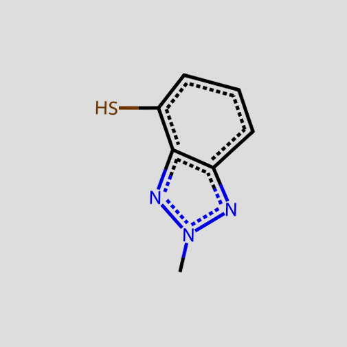 Cn1nc2cccc(S)c2n1